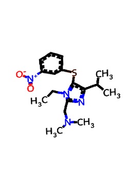 CCn1c(CN(C)C)nc(C(C)C)c1Sc1cccc([N+](=O)[O-])c1